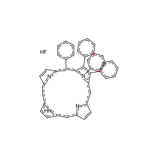 C1=Cc2cc3c(-c4ccccc4)c(-c4ccccc4)c(c(-c4ccccc4)c4nc(cc5ccc(cc1n2)[nH]5)C=C4)n3-c1ccccc1.F